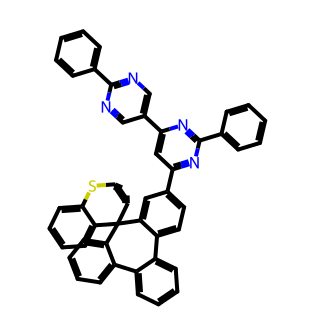 c1ccc(-c2ncc(-c3cc(-c4ccc5c(c4)C4(c6ccccc6Sc6ccccc64)c4ccccc4-c4ccccc4-5)nc(-c4ccccc4)n3)cn2)cc1